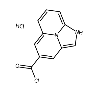 Cl.O=C(Cl)C1=CC2=CNC3=CC=CC(=C1)N23